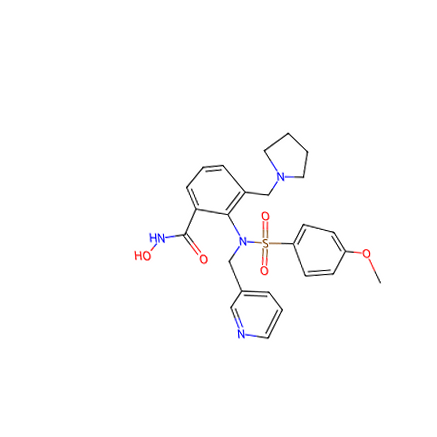 COc1ccc(S(=O)(=O)N(Cc2cccnc2)c2c(CN3CCCC3)cccc2C(=O)NO)cc1